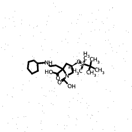 CC(C)(C)[Si](C)(C)O[C@H]1CN(C(=O)O)C(CCNC2CCCCC2)(C(=O)O)C1